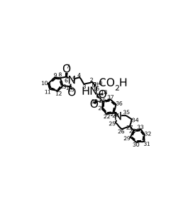 O=C(O)[C@@H](CCCN1C(=O)c2ccccc2C1=O)NS(=O)(=O)c1ccc(N2CCC(c3ccccc3)CC2)cc1